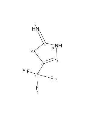 N=C1CC(C(F)(F)F)=CN1